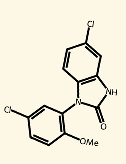 COc1ccc(Cl)cc1-n1c(=O)[nH]c2cc(Cl)ccc21